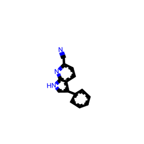 N#Cc1ccc2c(-c3ccccc3)c[nH]c2n1